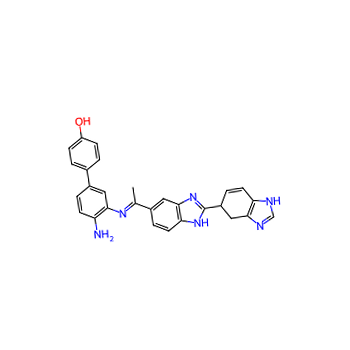 C/C(=N\c1cc(-c2ccc(O)cc2)ccc1N)c1ccc2[nH]c(C3C=Cc4[nH]cnc4C3)nc2c1